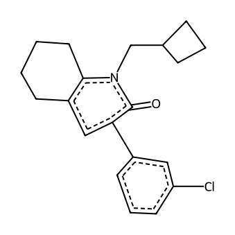 O=c1c(-c2cccc(Cl)c2)cc2c(n1CC1CCC1)CCCC2